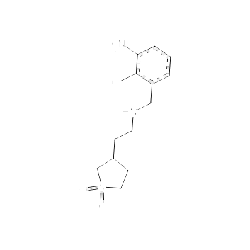 O=[N+]([O-])c1cccc(CNCCC2CCS(=O)(=O)C2)c1Cl